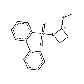 CN[C@H]1CCN1S(=O)(=O)c1ccccc1-c1ccccc1